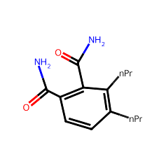 CCCc1ccc(C(N)=O)c(C(N)=O)c1CCC